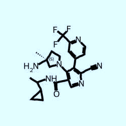 CC(NC(=O)c1cnc(C#N)c(-c2ccnc(C(F)(F)F)c2)c1N1CC[C@](C)(N)C1)C1CC1